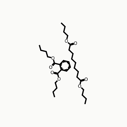 CCCCOC(=O)CCCCCCCC(=O)OCCCC.CCCCOC(=O)c1ccccc1C(=O)OCCCC